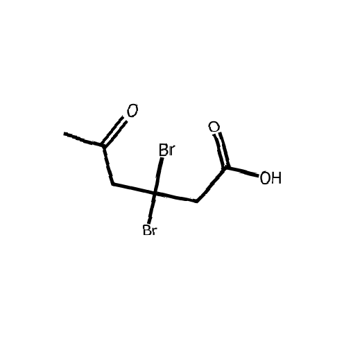 CC(=O)CC(Br)(Br)CC(=O)O